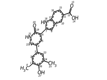 Cc1cc(-c2cc(-c3cc4cc(C(=O)O)ccc4[nH]3)c(=O)[nH]n2)cc(C)c1O